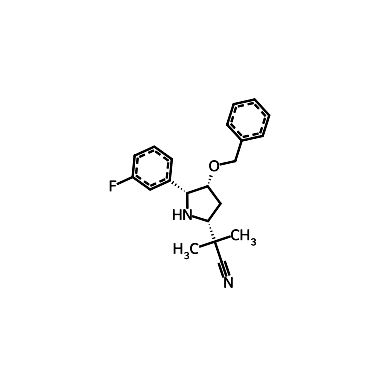 CC(C)(C#N)[C@H]1C[C@@H](OCc2ccccc2)[C@@H](c2cccc(F)c2)N1